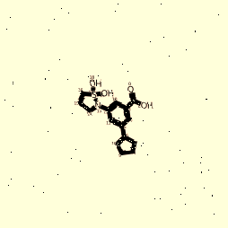 O=C(O)c1cc(C2CCCC2)cc(N2CCCS2(O)O)c1